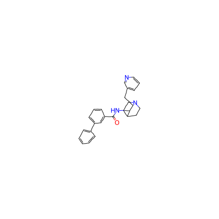 O=C(NC1C2CCN(CC2)C1Cc1cccnc1)c1cccc(-c2ccccc2)c1